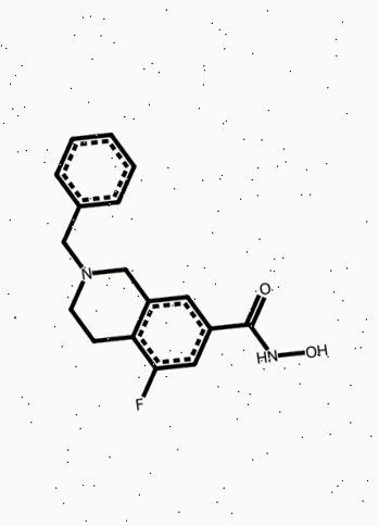 O=C(NO)c1cc(F)c2c(c1)CN(Cc1ccccc1)CC2